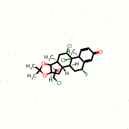 CC1(C)O[C@@H]2C[C@H]3[C@@H]4C[C@H](F)C5=CC(=O)C=C[C@]5(C)[C@@]4(Cl)[C@H](Cl)C[C@]3(C)[C@]2(C(=O)CCl)O1